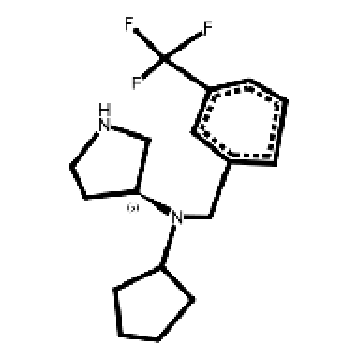 FC(F)(F)c1cccc(CN(C2CCCC2)[C@H]2CCNC2)c1